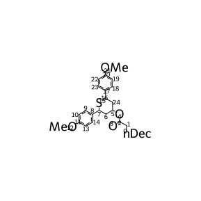 CCCCCCCCCCCC(=O)OC1CC(c2ccc(OC)cc2)SC(c2ccc(OC)cc2)C1